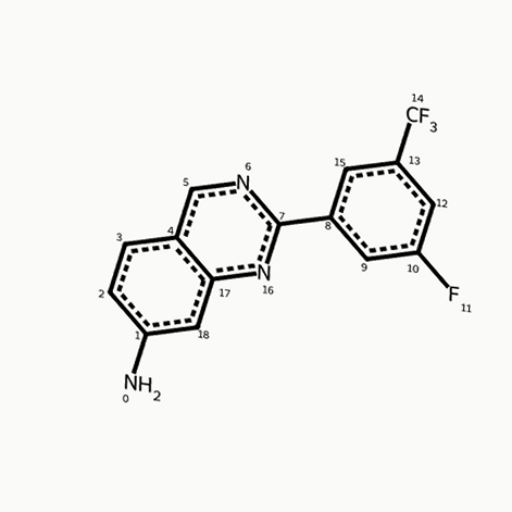 Nc1ccc2cnc(-c3cc(F)cc(C(F)(F)F)c3)nc2c1